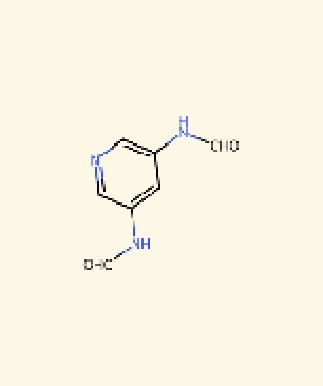 O=CNc1cncc(NC=O)c1